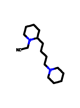 N#CCN1CCCCC1CCCCN1CCCCC1